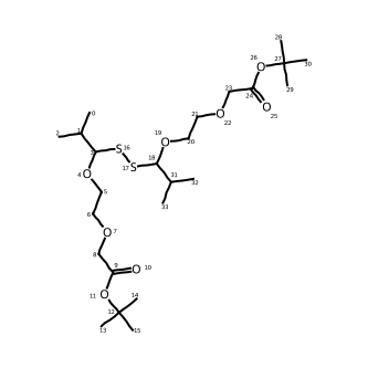 CC(C)C(OCCOCC(=O)OC(C)(C)C)SSC(OCCOCC(=O)OC(C)(C)C)C(C)C